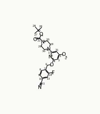 COc1cc(OCc2ccc(C#N)cc2F)nc(N2CCN(C(=O)OC(C)(C)C)CC2)c1